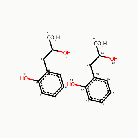 O=C(O)C(O)Cc1ccccc1O.O=C(O)C(O)Cc1ccccc1O